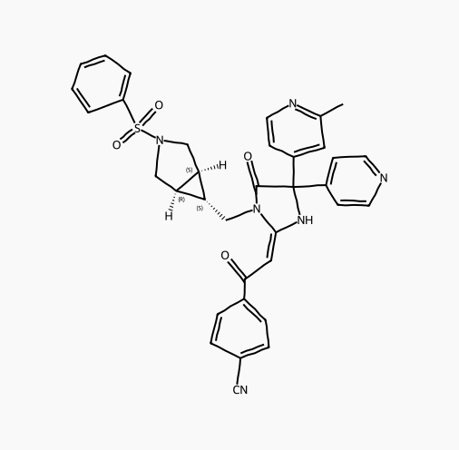 Cc1cc(C2(c3ccncc3)NC(=CC(=O)c3ccc(C#N)cc3)N(C[C@@H]3[C@H]4CN(S(=O)(=O)c5ccccc5)C[C@@H]34)C2=O)ccn1